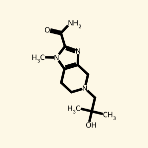 Cn1c(C(N)=O)nc2c1CCN(CC(C)(C)O)C2